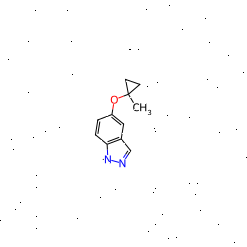 CC1(Oc2ccc3c(c2)C=N[N]3)CC1